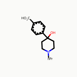 CCCN1CCC(O)(c2ccc(C(=O)O)cc2)CC1